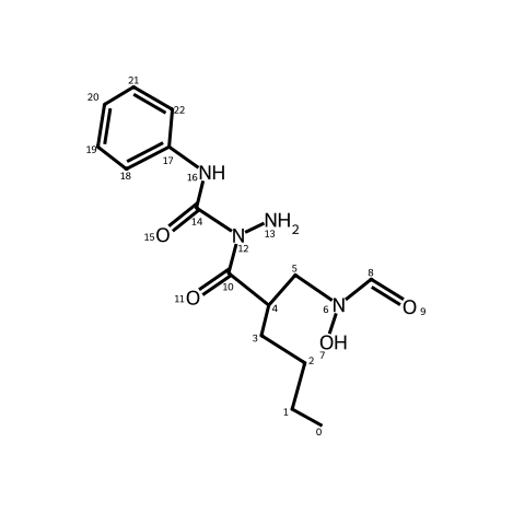 CCCCC(CN(O)C=O)C(=O)N(N)C(=O)Nc1ccccc1